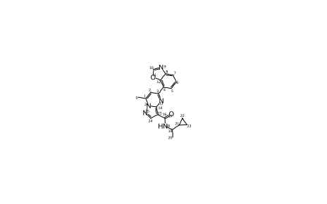 Cc1cc(-c2cccc3ncoc23)nc2c(C(=O)NC(C)C3CC3)cnn12